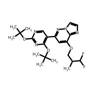 CC(COc1cc(-c2cnc(OC(C)(C)C)nc2OC(C)(C)C)nn2ccnc12)C(F)F